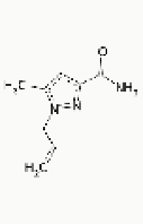 C=CCn1nc(C(N)=O)cc1C